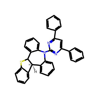 c1ccc(-c2cc(-c3ccccc3)nc(N3c4ccccc4C4Sc5ccccc5[C@@H]4c4ccccc43)n2)cc1